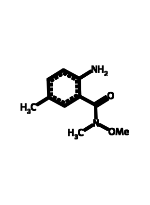 CON(C)C(=O)c1cc(C)ccc1N